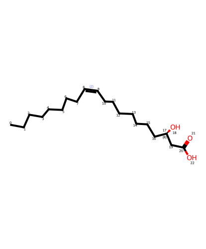 CCCCCCCC/C=C\CCCCCCC[C@@H](O)CC(=O)O